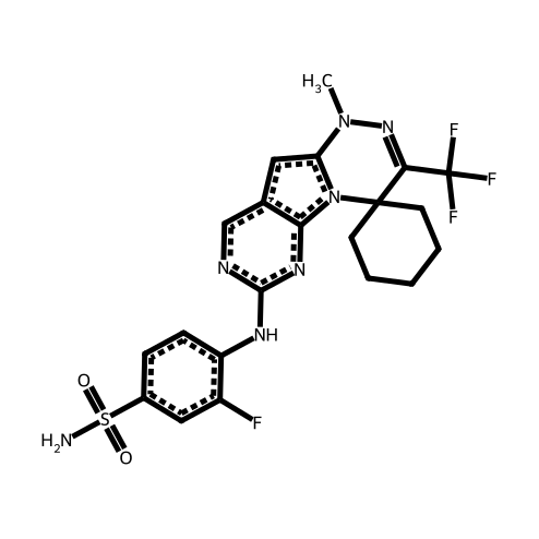 CN1N=C(C(F)(F)F)C2(CCCCC2)n2c1cc1cnc(Nc3ccc(S(N)(=O)=O)cc3F)nc12